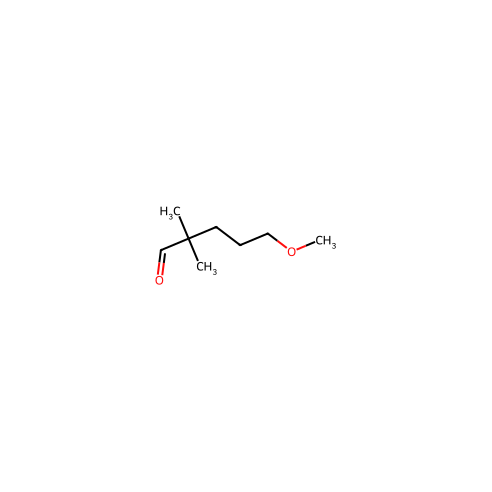 COCCCC(C)(C)C=O